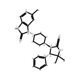 Cc1cc2c(cn1)[nH]c(=O)n2[C@H]1CC[C@H](N2C(=O)OC(C)(C)[C@@H]2c2ccccc2)CC1